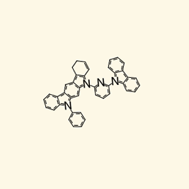 C1=Cc2c(c3cc4c5ccccc5n(-c5ccccc5)c4cc3n2-c2cccc(-n3c4ccccc4c4ccccc43)n2)CC1